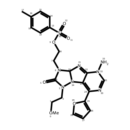 COCCN1C(=O)N(CCOS(=O)(=O)c2ccc(C)cc2)C2N=C3C(=C(c4ccco4)N=CN3N)N21